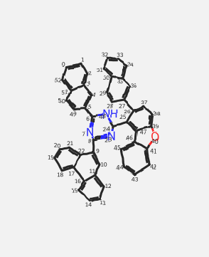 c1ccc2cc(C3=NC(c4cc5ccccc5c5ccccc45)=NC(c4c(-c5ccc6ccccc6c5)ccc5oc6ccccc6c45)N3)ccc2c1